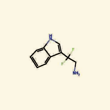 NCC(F)(F)c1c[nH]c2ccccc12